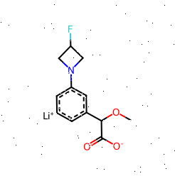 COC(C(=O)[O-])c1cccc(N2CC(F)C2)c1.[Li+]